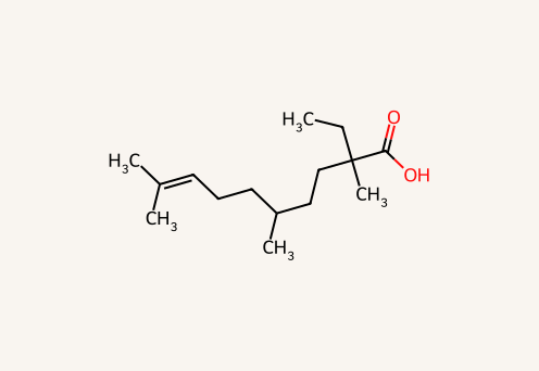 CCC(C)(CCC(C)CCC=C(C)C)C(=O)O